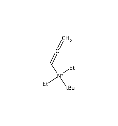 C=C=C[N+](CC)(CC)C(C)(C)C